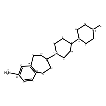 CN1CCN(C2CCN(C3CCc4ccc(N)cc4CC3)CC2)CC1